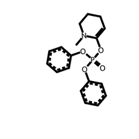 CN1CCCC=C1OP(=O)(Oc1ccccc1)Oc1ccccc1